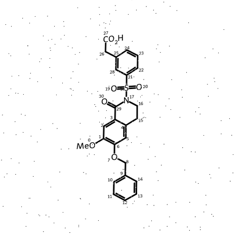 COc1cc2c(cc1OCc1ccccc1)CCN(S(=O)(=O)c1cccc(CC(=O)O)c1)C2=O